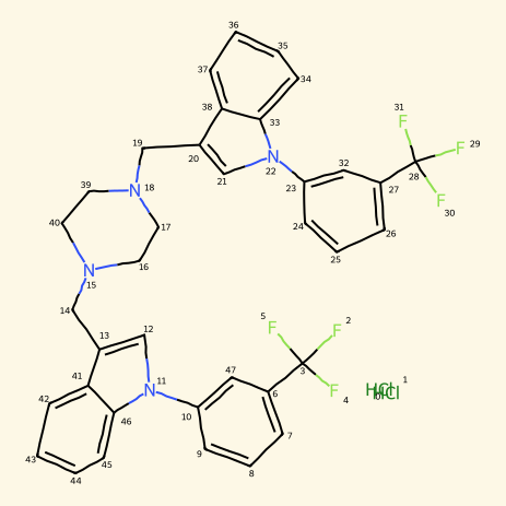 Cl.Cl.FC(F)(F)c1cccc(-n2cc(CN3CCN(Cc4cn(-c5cccc(C(F)(F)F)c5)c5ccccc45)CC3)c3ccccc32)c1